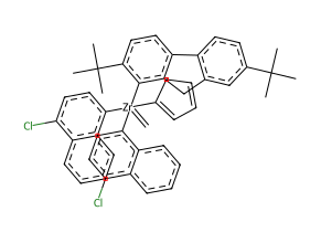 [CH2]=[Zr]([C]1=CC=CC1)([c]1c(C(C)(C)C)ccc2c1Cc1cc(C(C)(C)C)ccc1-2)([c]1ccc(Cl)c2ccccc12)[c]1ccc(Cl)c2ccccc12